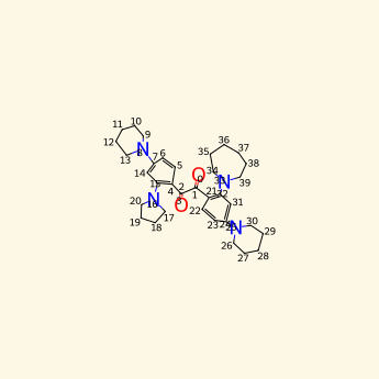 O=C(C(=O)c1ccc(N2CCCCC2)cc1N1CCCC1)c1ccc(N2CCCCC2)cc1N1CCCCCC1